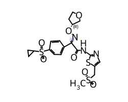 CS(=O)(=O)Cc1cnc(NC(=O)/C(=N/O[C@@H]2CCOC2)c2ccc(S(=O)(=O)C3CC3)cc2)s1